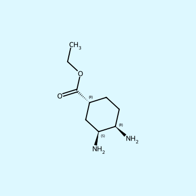 CCOC(=O)[C@@H]1CC[C@@H](N)[C@@H](N)C1